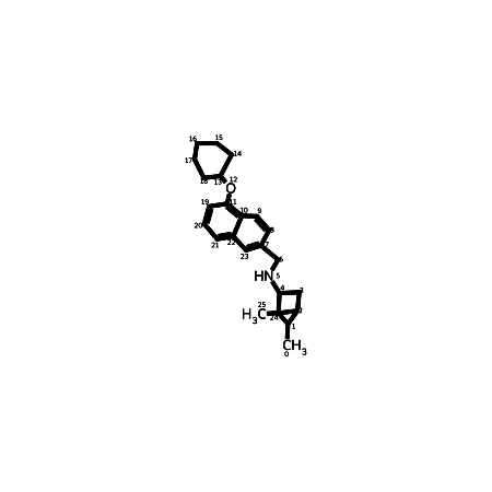 CC1C2CC(NCc3ccc4c(OC5CCCCC5)cccc4c3)C12C